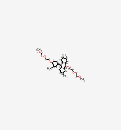 COCCOCCOc1ccc(-c2c3ccc(C)cc3c(OCCOCCOC)c3ccc(C)cc23)cc1C